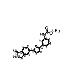 CC(C)(C)OC(=O)Nc1cncc(-c2ccc(-c3ccc4c(c3)CNC4=O)s2)c1